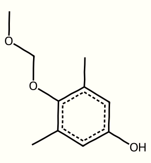 COCOc1c(C)cc(O)cc1C